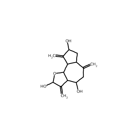 C=C1CC(O)C2C(=C)C(O)OC2C2C(=C)C(O)CC12